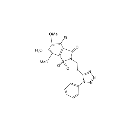 CCc1c(OC)c(C)c(OC)c2c1C(=O)N(CSc1nnnn1-c1ccccc1)S2(=O)=O